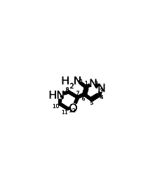 Nc1nnccc1C1CNCCO1